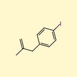 C=C(C)Cc1ccc(I)cc1